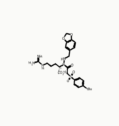 CC(C)(C)c1ccc(S(=O)(=O)CC(=O)N(NCc2ccc3c(c2)OCO3)[C@@H](CCCNC(=N)N)C(=O)O)cc1